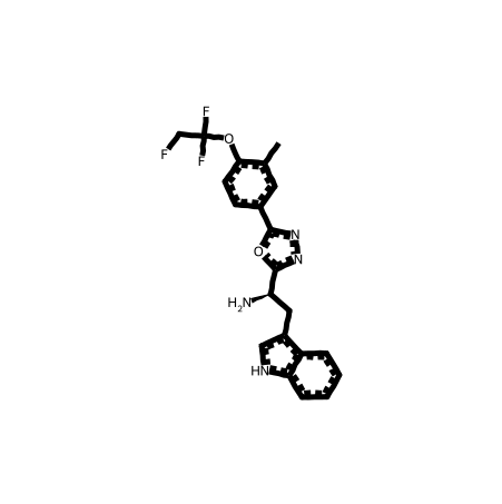 Cc1cc(-c2nnc([C@H](N)Cc3c[nH]c4ccccc34)o2)ccc1OC(F)(F)CF